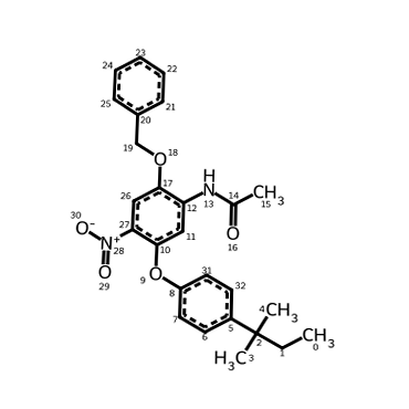 CCC(C)(C)c1ccc(Oc2cc(NC(C)=O)c(OCc3ccccc3)cc2[N+](=O)[O-])cc1